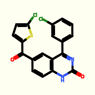 O=C(c1ccc2[nH]c(=O)nc(-c3cccc(Cl)c3)c2c1)c1ccc(Cl)s1